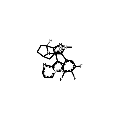 Cn1nc2c(c1-c1cc(F)c(F)c(F)c1)CC1CC[C@@H]2N1C(=O)c1cnn2cccnc12